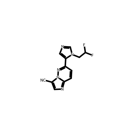 N#Cc1cnc2ccc(-c3cncn3CC(F)F)nn12